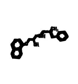 CC(CNCC(O)COc1cccc2ccccc12)Cc1ccccc1